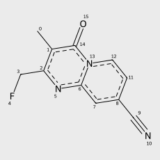 Cc1c(CF)nc2cc(C#N)ccn2c1=O